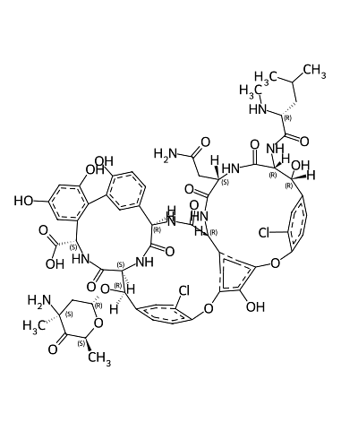 CN[C@H](CC(C)C)C(=O)N[C@H]1C(=O)N[C@@H](CC(N)=O)C(=O)N[C@H]2C(=O)N[C@H]3C(=O)N[C@H](C(=O)N[C@H](C(=O)O)c4cc(O)cc(O)c4-c4cc3ccc4O)[C@H](O[C@H]3C[C@](C)(N)C(=O)[C@H](C)O3)c3ccc(c(Cl)c3)Oc3cc2cc(c3O)Oc2ccc(cc2Cl)[C@H]1O